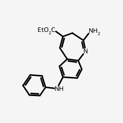 CCOC(=O)C1=Cc2cc(Nc3ccccc3)ccc2N=C(N)C1